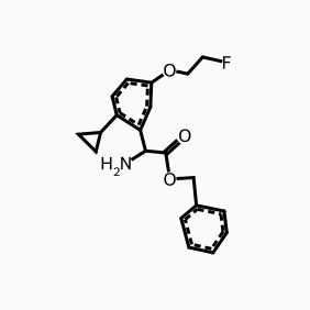 NC(C(=O)OCc1ccccc1)c1cc(OCCF)ccc1C1CC1